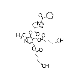 C#CCCCC(=O)OCc1cnc(C)c(OC(=O)C2CCn3c(C(=O)c4ccccc4)ccc32)c1COC(=O)CCCC#C